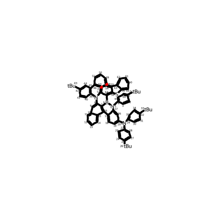 CC(C)(C)c1ccc(N2B3c4c(cc5ccccc5c4-c4ccc(N(c5ccc(C(C)(C)C)cc5)c5ccc(C(C)(C)C)cc5)cc42)N(c2ccc(C(C)(C)C)cc2-c2ccccc2)c2ccc4c(sc5ccccc54)c23)cc1